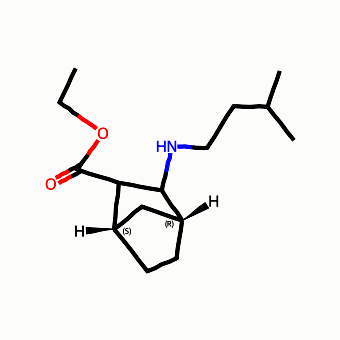 CCOC(=O)C1C(NCCC(C)C)[C@@H]2CC[C@H]1C2